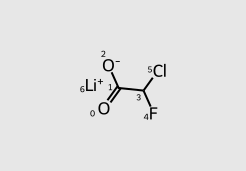 O=C([O-])C(F)Cl.[Li+]